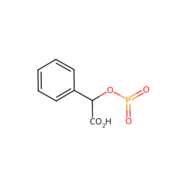 O=C(O)C(OP(=O)=O)c1ccccc1